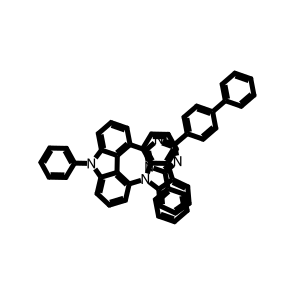 c1ccc(-c2ccc(-c3nc(-c4ccccc4)nc(-c4cccc5c4c4c(-n6c7ccccc7c7ccccc76)cccc4n5-c4ccccc4)n3)cc2)cc1